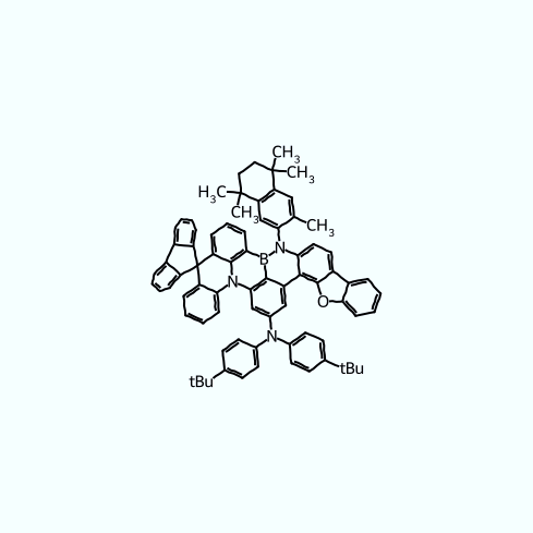 Cc1cc2c(cc1N1B3c4cccc5c4N(c4ccccc4C54c5ccccc5-c5ccccc54)c4cc(N(c5ccc(C(C)(C)C)cc5)c5ccc(C(C)(C)C)cc5)cc(c43)-c3c1ccc1c3oc3ccccc31)C(C)(C)CCC2(C)C